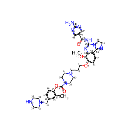 COc1c(OCCCN2CCN(C(=O)Oc3ccc(CN4CCNCC4)cc3C)CC2)ccc2c1N=C(NC(=O)c1cnc(N)nc1)N1CCN=C21